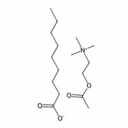 CC(=O)OCC[N+](C)(C)C.CCCCCCCCC(=O)[O-]